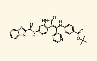 CC(C)(C)OC(=O)c1ccc(N/C(=C2\C(=O)Nc3cc(NC(=O)c4nc5ccccc5[nH]4)ccc32)c2cccnc2)cc1